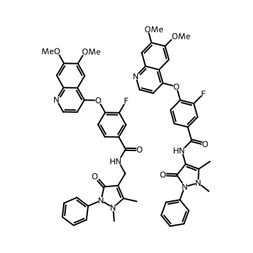 COc1cc2nccc(Oc3ccc(C(=O)NCc4c(C)n(C)n(-c5ccccc5)c4=O)cc3F)c2cc1OC.COc1cc2nccc(Oc3ccc(C(=O)Nc4c(C)n(C)n(-c5ccccc5)c4=O)cc3F)c2cc1OC